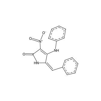 O=C1NC(=Cc2ccccc2)C(Nc2ccccc2)=C1[N+](=O)[O-]